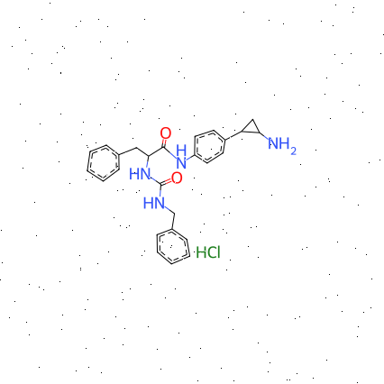 Cl.NC1CC1c1ccc(NC(=O)C(Cc2ccccc2)NC(=O)NCc2ccccc2)cc1